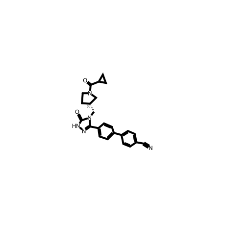 N#Cc1ccc(-c2ccc(-c3n[nH]c(=O)n3C[C@@H]3CCN(C(=O)C4CC4)C3)cc2)cc1